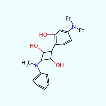 CCN(CC)c1ccc(C2C(O)C(N(C)c3ccccc3)C2O)c(O)c1